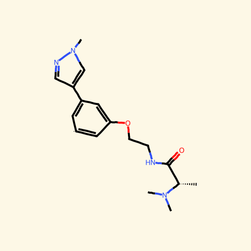 C[C@@H](C(=O)NCCOc1c[c]cc(-c2cnn(C)c2)c1)N(C)C